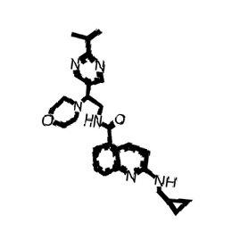 CC(C)c1ncc(C(CNC(=O)c2cccc3nc(NCC4CC4)ccc23)N2CCOCC2)cn1